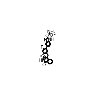 COc1cc(F)c(-c2ccc3[nH]c(OC(N)=O)nc3c2)cc1Cc1n[nH]c(=O)c2ccccc12